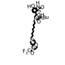 CC(C)(C)OC(=O)N(CCCCCCCCCN1CCC2(CC1)CN(C(=O)C(F)(F)F)CCO2)C[C@H](O)c1ccc(O)c2[nH]c(=O)sc12